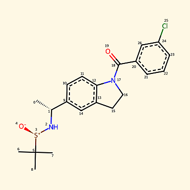 C[C@@H](N[S@+]([O-])C(C)(C)C)c1ccc2c(c1)CCN2C(=O)c1cccc(Cl)c1